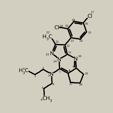 CCCN(CCC)c1c2c(nc3c(-c4ccc(Cl)cc4Cl)c(C)nn13)CCC2